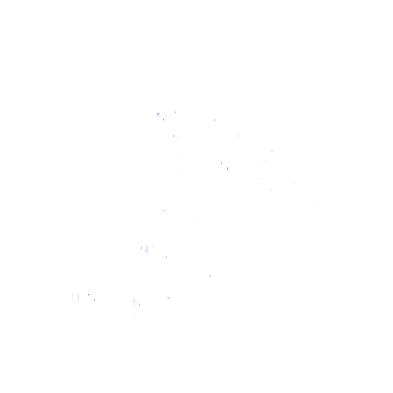 Nc1cnc(-c2ccc(-c3ccccc3S(=O)(=O)N=CC3CCCNC3=O)cc2F)cn1